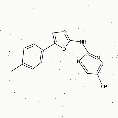 Cc1ccc(-c2cnc(Nc3ncc(C#N)cn3)o2)cc1